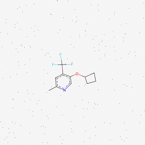 Cc1cc(C(F)(F)F)c(OC2CCC2)cn1